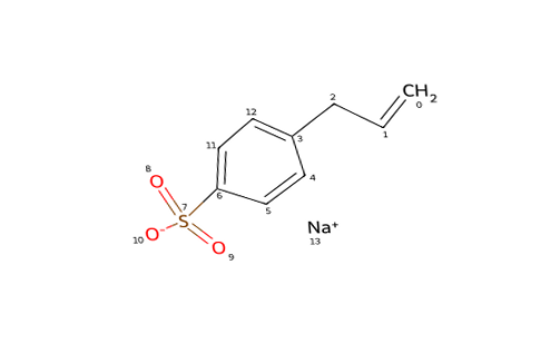 C=CCc1ccc(S(=O)(=O)[O-])cc1.[Na+]